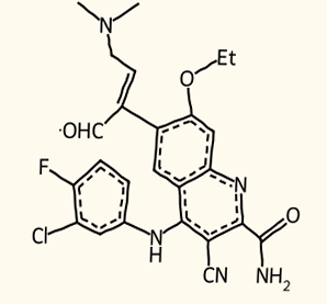 CCOc1cc2nc(C(N)=O)c(C#N)c(Nc3ccc(F)c(Cl)c3)c2cc1C([C]=O)=CCN(C)C